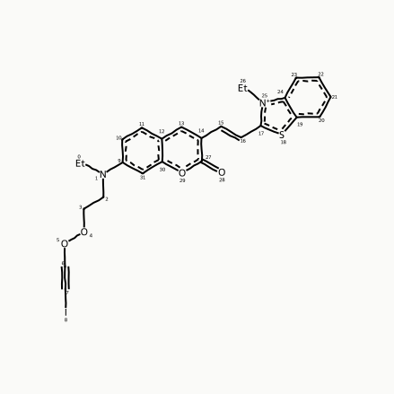 CCN(CCOOC#CI)c1ccc2cc(/C=C/c3sc4ccccc4[n+]3CC)c(=O)oc2c1